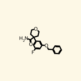 NC(=O)C1(c2cc(F)cc(OCc3ccccc3)c2)CCOCC1